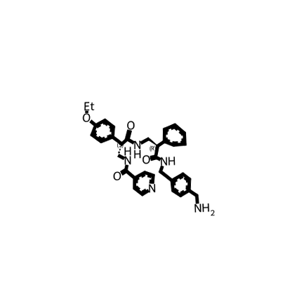 CCOc1ccc([C@@H](CNC(=O)c2ccncc2)C(=O)NC[C@H](C(=O)NCc2ccc(CN)cc2)c2ccccc2)cc1